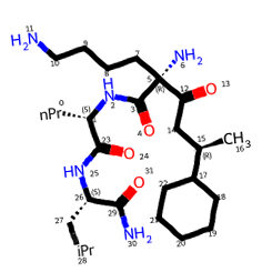 CCC[C@H](NC(=O)[C@@](N)(CCCCN)C(=O)C[C@@H](C)C1CCCCC1)C(=O)N[C@@H](CC(C)C)C(N)=O